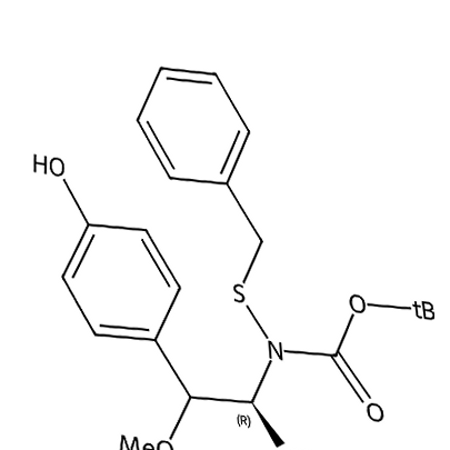 COC(c1ccc(O)cc1)[C@H](C(=O)O)N(SCc1ccccc1)C(=O)OC(C)(C)C